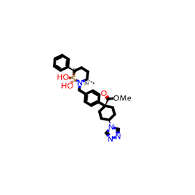 COC(=O)[C@]1(c2ccc(CN3[C@@H](C)CC[C@H](c4ccccc4)S3(O)O)cc2)CC[C@@H](n2cnnc2)CC1